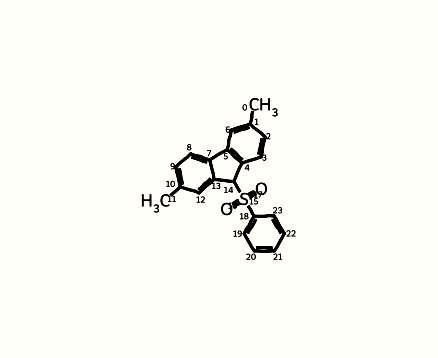 Cc1ccc2c(c1)-c1ccc(C)cc1C2S(=O)(=O)c1ccccc1